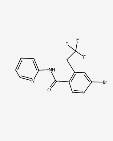 O=C(Nc1ccccn1)c1ccc(Br)cc1CC(F)(F)F